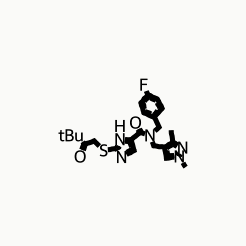 Cc1nn(C)cc1CN(Cc1ccc(F)cc1)C(=O)c1cnc(SCC(=O)C(C)(C)C)[nH]1